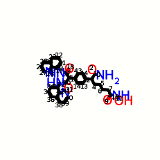 NC(=O)C(CCCCC(=O)NO)c1ccc(C(C(=O)Nc2cccc3cccnc23)C(=O)Nc2cccc3cccnc23)cc1